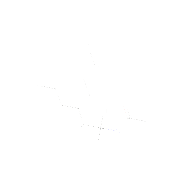 C=CC(=O)NC(C)(C)CC(CCC)CCCC